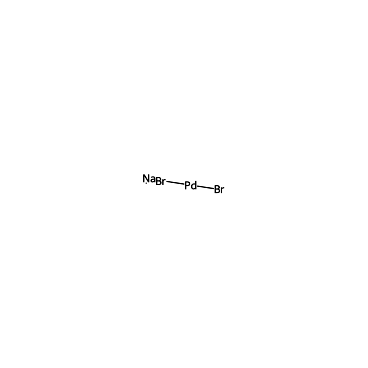 [Br][Pd][Br].[Na]